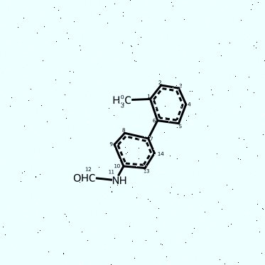 Cc1ccccc1-c1ccc(NC=O)cc1